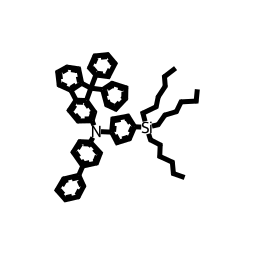 CCCCCC[Si](CCCCCC)(CCCCCC)c1ccc(N(c2ccc(-c3ccccc3)cc2)c2ccc3c(c2)C(c2ccccc2)(c2ccccc2)c2ccccc2-3)cc1